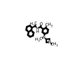 Cc1ccc(N(C)C2CN(C)C2)cc1C(=O)NC(C)c1cccc2ccccc12